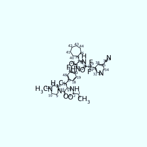 CCC(=O)NC(C(=O)N1CCN(C)CC1)C(C)c1ccc(NC(=O)C(NC(=O)C(F)(F)c2cncc(C#N)c2)C2CCCCCC2)c(F)c1